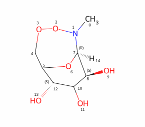 CN1OOCC2O[C@@H]1[C@@H](O)C(O)[C@@H]2O